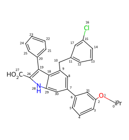 CC(C)Oc1cccc(-c2cc(Cc3cccc(Cl)c3)c3c(-c4ccccc4)c(C(=O)O)[nH]c3c2)c1